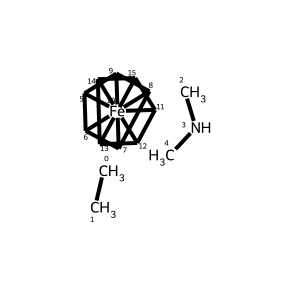 CC.CNC.[CH]12[CH]3[CH]4[CH]5[CH]1[Fe]23451678[CH]2[CH]1[CH]6[CH]7[CH]28